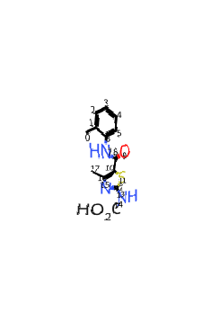 Cc1ccccc1NC(=O)c1sc(NC(=O)O)nc1C